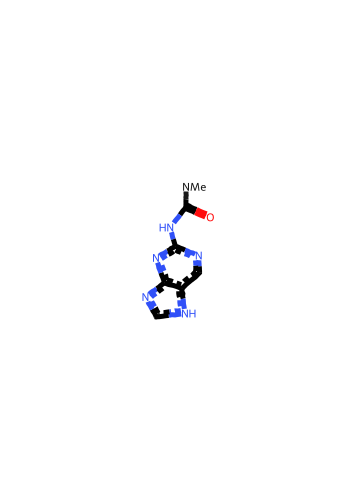 CNC(=O)Nc1ncc2[nH]cnc2n1